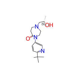 C[C@H](O)CN1CCC(=O)N(c2ccc(C(C)(C)C)nc2)CC1